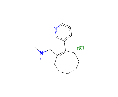 CN(C)CC1=C(c2cccnc2)CCCCCC1.Cl